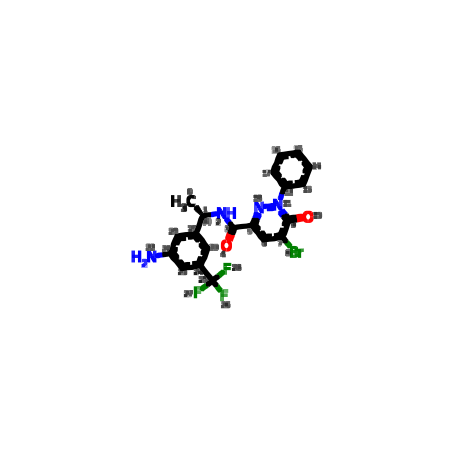 C[C@@H](NC(=O)c1cc(Br)c(=O)n(-c2ccccc2)n1)c1cc(N)cc(C(F)(F)F)c1